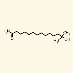 CC(C)(O)CCCCCCCCCCCC(N)=O